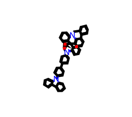 c1ccc2c(c1)CN1c3ccccc3C3(c4ccccc4N(c4ccc(-c5ccc(-n6c7ccccc7c7ccccc76)cc5)cc4)c4ccccc43)c3cccc-2c31